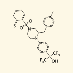 Cc1ccc(CC2CN(S(=O)(=O)C3=CC=CCC3=S)CCN2c2ccc(C(O)(C(F)(F)F)C(F)(F)F)cc2)cc1